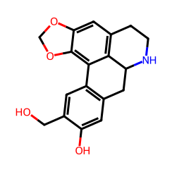 OCc1cc2c(cc1O)CC1NCCc3cc4c(c-2c31)OCO4